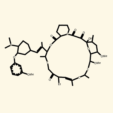 CCC1/C=C(\C)CC(C)CC(OC)C2OC(O)(C(=O)C(=O)N3CCCCC3C(=O)OC(C(C)=CC3CCC(N(C)C)C(Oc4cccc(OC)c4)C3)C(C)CCC1=O)C(C)CC2OC